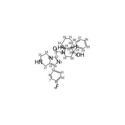 O=C(c1nc(-c2ccc(F)cc2)c2n1CCNC2)N1CC[C@](O)(c2ccccc2)[C@H]2CCCC[C@H]21